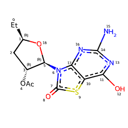 CC[C@@H]1C[C@@H](OC(C)=O)[C@H](n2c(=O)sc3c(O)nc(N)nc32)O1